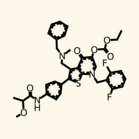 CCOC(=O)Oc1cn(Cc2c(F)cccc2F)c2sc(-c3ccc(NC(=O)C(C)OC)cc3)c(CN(C)Cc3ccccc3)c2c1=O